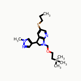 CCCSc1cnc2c(c1)C(c1cnn(C)c1)CN2COCC[Si](C)(C)C